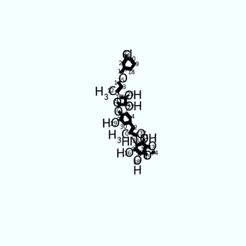 C/C(=C\c1ccc(O[C@@H]2O[C@H](/C(C)=C/COCc3cccc(Cl)c3)[C@@H](O)[C@@H]2O)c(O)c1)C(=O)Nc1c(O)c(O)c2c(c1O)OCO2